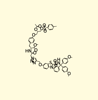 COC(=O)[C@H](Cc1ccc(OCC(COS(=O)(=O)c2ccc(C)cc2)OC(C)=O)cc1)NC(=O)Cn1cc(COc2ccc3nc(S(=O)(=O)NC(c4ccccc4)(c4ccc(OC)cc4)c4ccc(OC)cc4)sc3c2)nn1